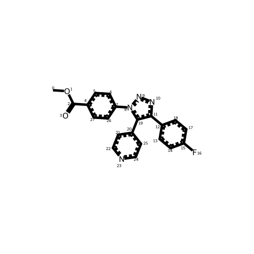 COC(=O)c1ccc(-n2nnc(-c3ccc(F)cc3)c2-c2ccncc2)cc1